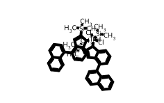 C[SiH](C)[Ti]([Cl])([Cl])([CH]1C([Si](C)(C)C)=Cc2c(-c3cccc4ccccc34)cccc21)[CH]1C([Si](C)(C)C)=Cc2c(-c3cccc4ccccc34)cccc21